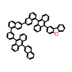 c1cc(-c2cccc3cc(-c4ccc5c(-c6c7ccccc7c(-c7ccc8oc9ccccc9c8c7)c7ccccc67)cccc5c4)ccc23)cc(-c2c3ccccc3c(-c3ccc4ccccc4c3)c3ccccc23)c1